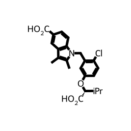 Cc1c(C)n(Cc2cc(O[C@@H](C(=O)O)C(C)C)ccc2Cl)c2ccc(C(=O)O)cc12